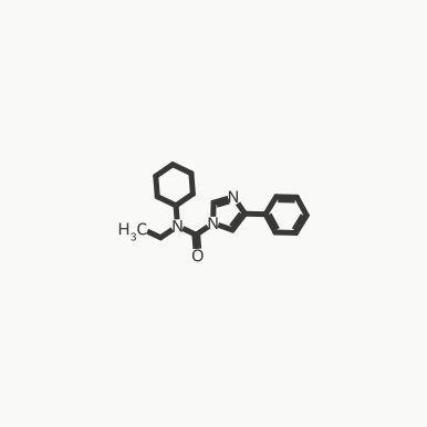 CCN(C(=O)n1cnc(-c2ccccc2)c1)C1CCCCC1